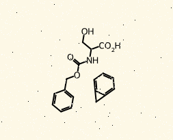 O=C(NC(CO)C(=O)O)OCc1ccccc1.c1ccc2c(c1)C2